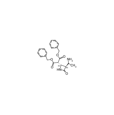 CC(N)[C@H]1C(=O)N[C@@H]1C(C(=O)OCc1ccccc1)C(=O)OCc1ccccc1